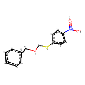 O=[N+]([O-])c1ccc(S[CH]OCc2ccccc2)cc1